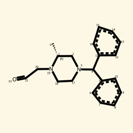 C[C@@H]1CN(C(c2ccccc2)c2ccccc2)CCN1CC=O